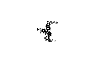 CNC(=O)Cn1ncc2cc(-c3c(-c4ccc(C#N)c(F)c4)nc4c(N5CCC[C@@H](NC)C5)nccn34)ccc21